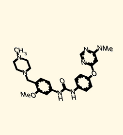 CNc1cc(Oc2ccc(NC(=O)Nc3ccc(CN4CCN(C)CC4)c(OC)c3)cc2)ncn1